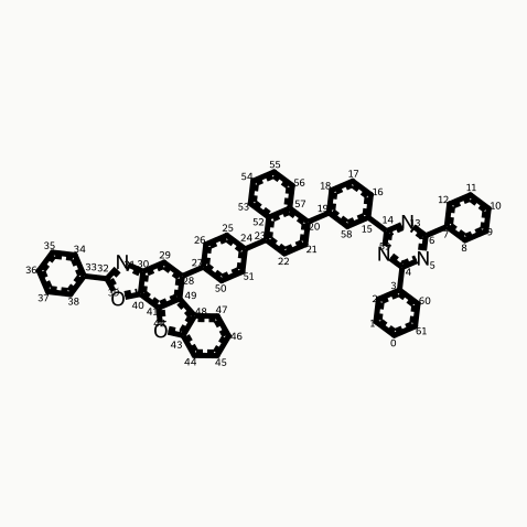 c1ccc(-c2nc(-c3ccccc3)nc(-c3cccc(-c4ccc(-c5ccc(-c6cc7nc(-c8ccccc8)oc7c7oc8ccccc8c67)cc5)c5ccccc45)c3)n2)cc1